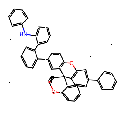 c1ccc(Nc2ccccc2-c2ccccc2-c2ccc3c(c2)C2(c4ccccc4Oc4ccccc42)c2ccc(-c4ccccc4)cc2O3)cc1